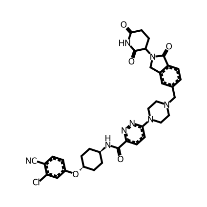 N#Cc1ccc(O[C@H]2CC[C@H](NC(=O)c3ccc(N4CCN(Cc5ccc6c(c5)CN(C5CCC(=O)NC5=O)C6=O)CC4)nn3)CC2)cc1Cl